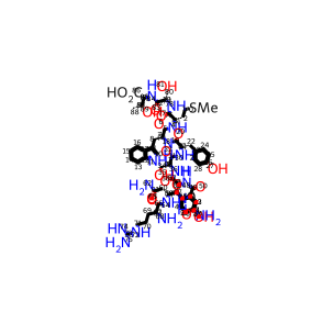 CSCC[C@H](NC(=O)[C@H](Cc1c[nH]c2ccccc12)NC(=O)[C@H](Cc1ccc(O)cc1)NC(=O)[C@H](CO)NC(=O)[C@H](Cc1ccc(O)cc1)NC(=O)[C@H](CC(N)=O)NC(=O)[C@@H](CC(N)=O)NC(=O)[C@@H](N)CCCNC(=N)N)C(=O)N[C@@H](CO)C(=O)N[C@H](C(=O)O)[C@@H](C)O